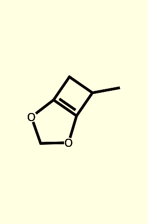 CC1CC2=C1OCO2